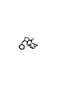 O=C(O)C12C=Cc3nc4c(c(=O)n3C1C2)CC/C4=C/c1ccccc1